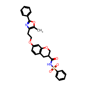 Cc1oc(-c2ccccc2)nc1CCOc1ccc2c(c1)OCC(C(=O)NS(=O)(=O)c1ccccc1)C2